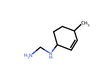 CC1C=CC(NCN)CC1